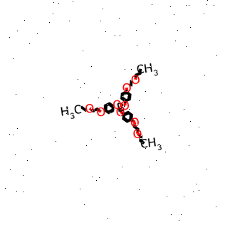 CCCOCCOc1ccc(OB(Oc2ccc(OCCOCCC)cc2)Oc2ccc(OCCOCCC)cc2)cc1